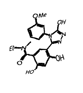 CCN(C)C(=O)c1cc(-c2nnc(O)n2-c2cccc(OC)c2)c(O)cc1O